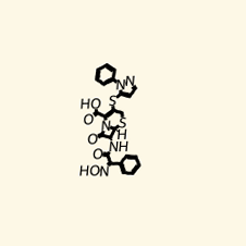 O=C(O)C1=C(Sc2ccnn2-c2ccccc2)CS[C@H]2[C@H](NC(=O)/C(=N\O)c3ccccc3)C(=O)N12